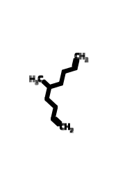 C=CCCC(C)CCC=C